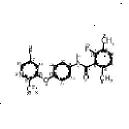 Cc1ccc(C)c(C(=O)Nc2ccc(Oc3cc(F)cnc3C(F)(F)F)cc2)c1F